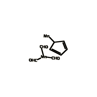 O=[CH][Mn]([CH]=O)[CH]=O.[Mn][CH]1C=CC=C1